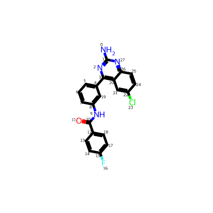 Nc1nc(-c2cccc(NC(=O)c3ccc(F)cc3)c2)c2cc(Cl)ccc2n1